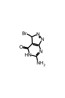 Nc1nc2c(c(=O)[nH]1)C(Br)N=N2